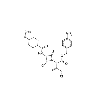 C=C(CCl)C(C(=O)OCc1ccc([N+](=O)[O-])cc1)N1C(=O)C(NC(=O)C2CCC(OC=O)CC2)C1Cl